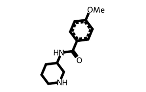 COc1ccc(C(=O)NC2CCCNC2)cc1